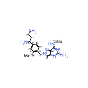 CCCCNc1nc(N)nc2cn(Cc3ccc(C(N)CCN)cc3OC)nc12